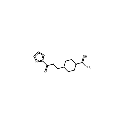 N=C(N)N1CCC(C[CH]C(=O)c2nccs2)CC1